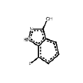 Oc1n[nH]c2c(F)cccc12